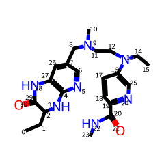 CCC1Nc2ncc(CN(C)CCN(CC)c3ccc(C(=O)NC)nc3)cc2NC1=O